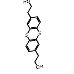 OCCc1ccc2c(c1)Sc1ccc(CCO)cc1S2